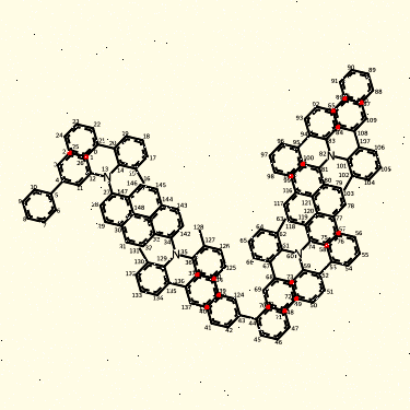 Cc1ccc(-c2ccccc2)cc1N(c1c(C)cccc1-c1ccccc1)c1ccc2ccc3c(N(c4cc(-c5cccc(-c6cccc(-c7ccc(-c8ccccc8)c(N(c8c(C)cccc8-c8ccccc8)c8ccc9ccc%10c(N(c%11cc(-c%12ccccc%12)ccc%11-c%11ccccc%11)c%11c(C)cccc%11-c%11ccccc%11)ccc%11ccc8c9c%11%10)c7)c6)c5)ccc4C)c4c(C)cccc4-c4ccccc4)ccc4ccc1c2c43